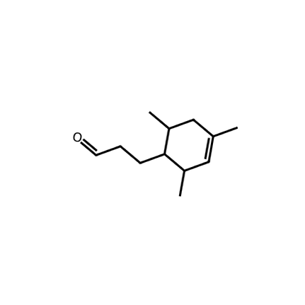 CC1=CC(C)C(CCC=O)C(C)C1